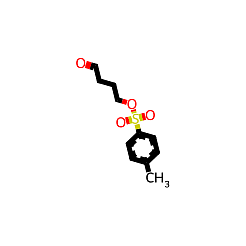 Cc1ccc(S(=O)(=O)OCCCC=O)cc1